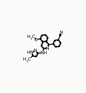 COc1cccc2c(-c3cccc(C#N)c3)nc(Nc3cc(C)[nH]n3)cc12